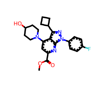 COC(=O)c1cc(N2CCC(O)CC2)c2c(C3CCC3)nn(-c3ccc(F)cc3)c2n1